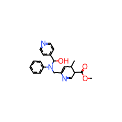 COC(=O)C1C=NC(CN(c2ccccc2)C(O)c2ccncc2)=CC1C